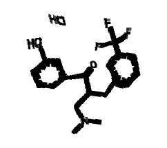 CN(C)CC(Cc1cccc(C(F)(F)F)c1)C(=O)c1cccc(O)c1.Cl